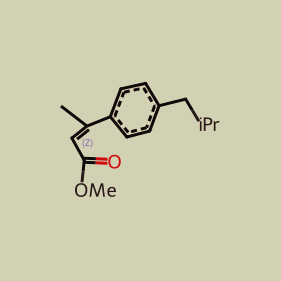 COC(=O)/C=C(/C)c1ccc(CC(C)C)cc1